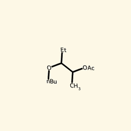 CCCCOC(CC)C(C)OC(C)=O